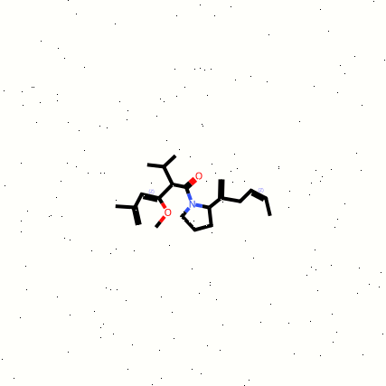 C=C(C)/C=C(\OC)C(C(=O)N1CCCC1C(=C)C/C=C\C)C(C)C